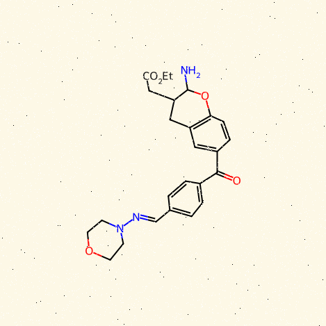 CCOC(=O)CC1Cc2cc(C(=O)c3ccc(C=NN4CCOCC4)cc3)ccc2OC1N